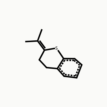 CC(C)=C1CCc2ccccc2S1